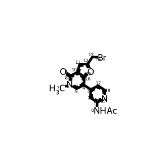 CC(=O)Nc1cc(-c2cn(C)c(=O)c3cc(CBr)oc23)ccn1